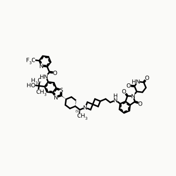 C[C@@H]([C@H]1CC[C@@H](c2nc3cc(C(C)(C)O)c(NC(=O)c4cccc(C(F)(F)F)n4)cc3s2)CC1)N1CC2(CC(CCNc3cccc4c3C(=O)N(C3CCC(=O)NC3=O)C4=O)C2)C1